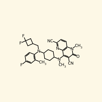 Cc1cc(F)ccc1N(CC1CC(F)(F)C1)C1CCC(N(C)c2c(C#N)c(=O)n(C)c3ccc(C#N)nc23)CC1